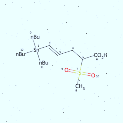 CCC[CH2][Sn](/[CH]=C/CC(C(=O)O)S(C)(=O)=O)([CH2]CCC)[CH2]CCC